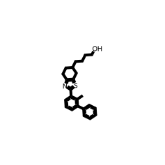 Cc1c(-c2ccccc2)cccc1-c1nc2c(s1)CC(CCCCO)CC2